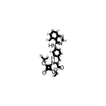 CCOC(=O)[C@H](Cc1ccc(Nc2ncnc3cccc(C)c23)cc1)Nc1c(OC(C)C)c(=O)c1=O